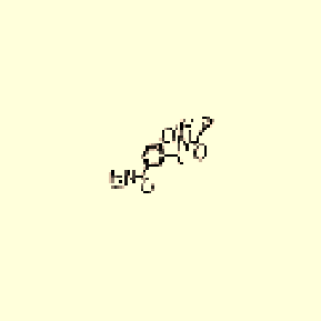 CCNC(=O)c1ccc(Cl)c(C(C)NC(=O)C2CC2)c1